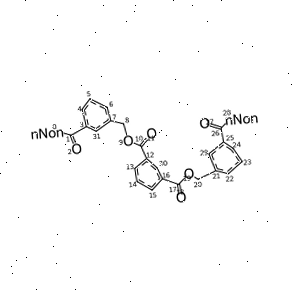 CCCCCCCCCC(=O)c1cccc(COC(=O)c2cccc(C(=O)OCc3cccc(C(=O)CCCCCCCCC)c3)c2)c1